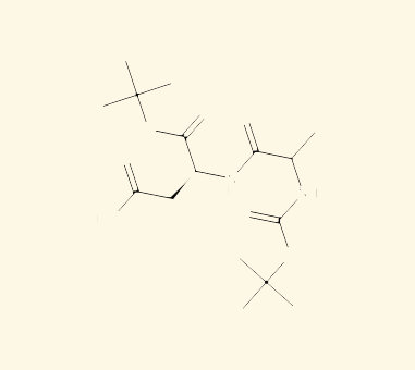 CC(NC(=O)OC(C)(C)C)C(=O)N[C@@H](CC(=O)O)C(=O)OC(C)(C)C